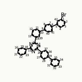 Brc1cccc(-c2ccc(-c3cccc(-c4nc(-c5ccccc5)nc(-c5ccc(-c6ccccc6)cc5)n4)c3)cc2)c1